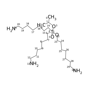 CC(C)[O][Ti](=[O])([CH2]CCCCCCN)([CH2]CCCCCCN)[O]CCCCCCCN